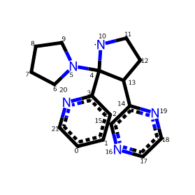 c1ccc(C2(N3CCCC3)[N]CCC2c2cnccn2)nc1